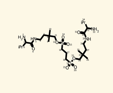 CC(C)C(N)C(=O)NCCC(C)(C)COS(=O)(=O)CCCS(=O)(=O)OCC(C)(C)CCNC(=O)C(N)C(C)C